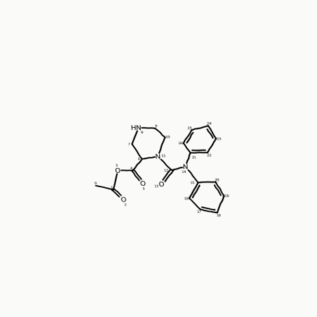 CC(=O)OC(=O)C1CNCCN1C(=O)N(c1ccccc1)c1ccccc1